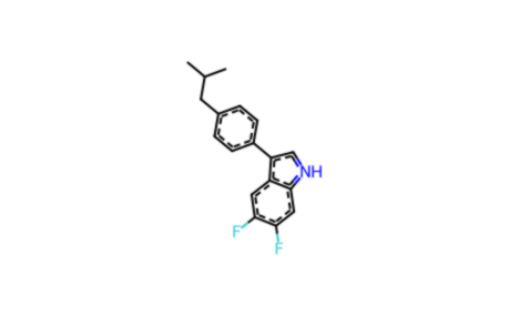 CC(C)Cc1ccc(-c2c[nH]c3cc(F)c(F)cc23)cc1